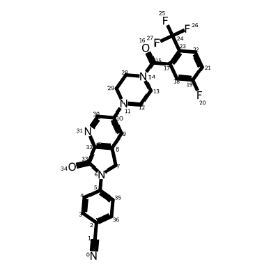 N#Cc1ccc(N2Cc3cc(N4CCN(C(=O)c5cc(F)ccc5C(F)(F)F)CC4)cnc3C2=O)cc1